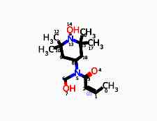 C/C=C\C(=O)N(CO)C1CC(C)(C)N(O)C(C)(C)C1